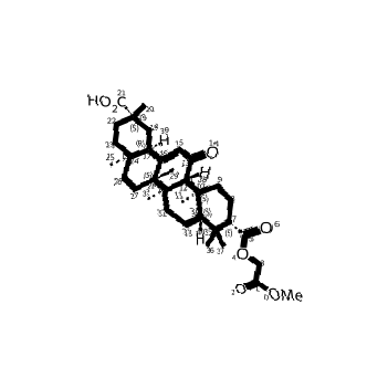 COC(=O)COC(=O)[C@H]1CC[C@]2(C)[C@H]3C(=O)C=C4[C@@H]5C[C@@](C)(C(=O)O)CC[C@]5(C)CC[C@@]4(C)[C@]3(C)CC[C@H]2C1(C)C